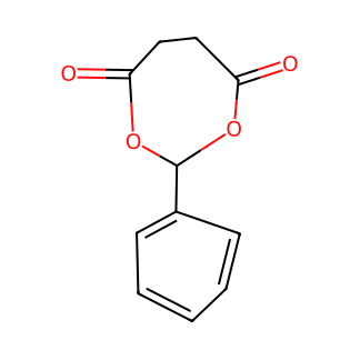 O=C1CCC(=O)OC(c2ccccc2)O1